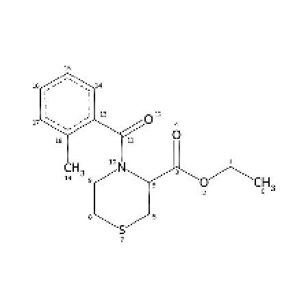 CCOC(=O)C1CSCCN1C(=O)c1ccccc1C